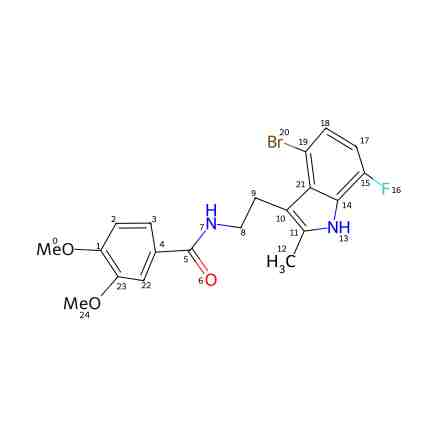 COc1ccc(C(=O)NCCc2c(C)[nH]c3c(F)ccc(Br)c23)cc1OC